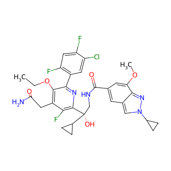 CCOc1c(-c2cc(Cl)c(F)cc2F)nc([C@@](O)(CNC(=O)c2cc(OC)c3nn(C4CC4)cc3c2)C2CC2)c(F)c1CC(N)=O